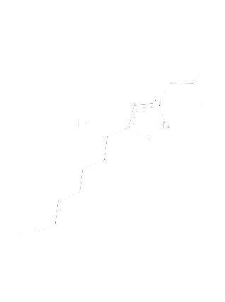 CCCCCCC(C)c1cnn(CC(F)F)c1